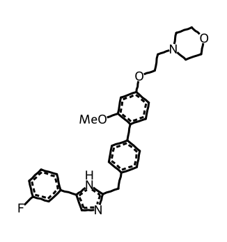 COc1cc(OCCN2CCOCC2)ccc1-c1ccc(Cc2ncc(-c3cccc(F)c3)[nH]2)cc1